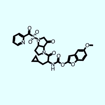 COc1ccc2oc(OC(=O)NC(CC3CC3)C(=O)N3CCC4C3C(=O)CN4S(=O)(=O)C(=O)c3ccccn3)cc2c1